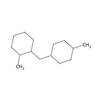 CC1CCC(CC2CCCCC2C)CC1